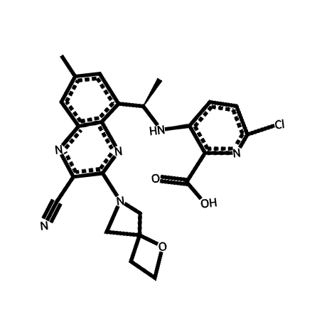 Cc1cc([C@@H](C)Nc2ccc(Cl)nc2C(=O)O)c2nc(N3CC4(CCO4)C3)c(C#N)nc2c1